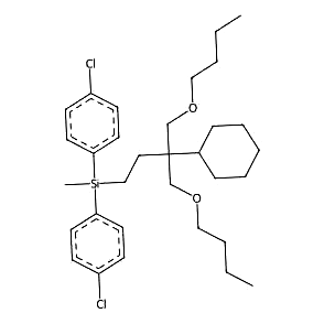 CCCCOCC(CC[Si](C)(c1ccc(Cl)cc1)c1ccc(Cl)cc1)(COCCCC)C1CCCCC1